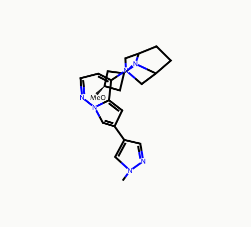 CO[C@H]1C[C@@H](N2C3CCC2CN(c2ccnn4cc(-c5cnn(C)c5)cc24)C3)C1